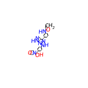 C=CC(=O)Nc1cccc(-c2nc(Nc3ccc(C(O)N4CCOCC4)cc3)nc3[nH]ncc23)c1